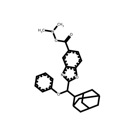 CN(C)OC(=O)c1ccc2oc(C(Oc3ccccc3)C3C4CC5CC(C4)CC3C5)nc2c1